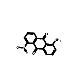 Nc1cccc2c1C(=O)c1cccc([N+](=O)[O-])c1C2=O